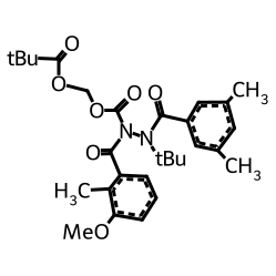 COc1cccc(C(=O)N(C(=O)OCOC(=O)C(C)(C)C)N(C(=O)c2cc(C)cc(C)c2)C(C)(C)C)c1C